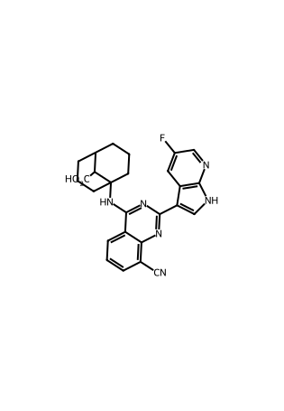 N#Cc1cccc2c(NC34CCCC(CCC3)C4C(=O)O)nc(-c3c[nH]c4ncc(F)cc34)nc12